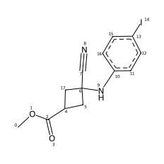 COC(=O)C1CC(C#N)(Nc2ccc(I)cc2)C1